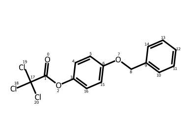 O=C(Oc1ccc(OCc2ccccc2)cc1)C(Cl)(Cl)Cl